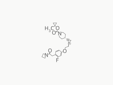 CC1(OC(=O)N2CCC([C@@H]3C[C@H]3CCOc3ccc(CC(=O)N4CCC4)c(F)c3)CC2)CC1